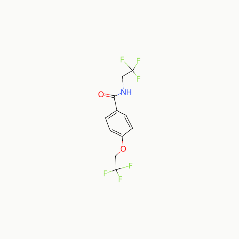 O=C(NCC(F)(F)F)c1ccc(OCC(F)(F)F)cc1